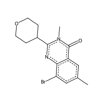 Cc1cc(Br)c2nc(C3CCOCC3)n(C)c(=O)c2c1